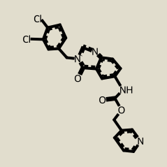 O=C(Nc1ccc2ncn(Cc3ccc(Cl)c(Cl)c3)c(=O)c2c1)OCc1cccnc1